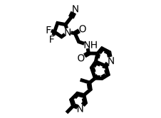 C/C(=C\c1ccc(C)nc1)c1ccc2nccc(C(=O)NCC(=O)N3CC(F)(F)CC3C#N)c2c1